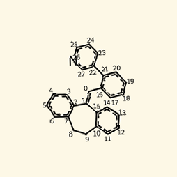 C(=C1c2ccccc2CCc2ccccc21)c1ccccc1-c1cccnc1